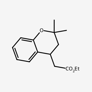 CCOC(=O)CC1CC(C)(C)Oc2ccccc21